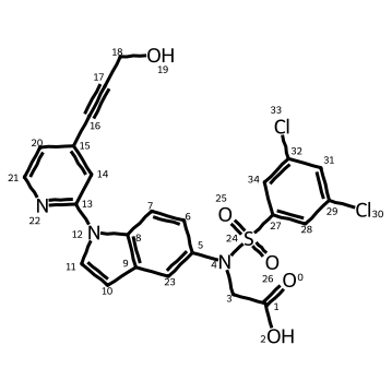 O=C(O)CN(c1ccc2c(ccn2-c2cc(C#CCO)ccn2)c1)S(=O)(=O)c1cc(Cl)cc(Cl)c1